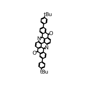 CC(C)(C)c1ccc(-c2ccc3c(c2)c(=O)c2ccc4nc5c6ccc(-c7ccc(C(C)(C)C)cc7)cc6c(=O)c6ccc7nc3c2c4c7c65)cc1